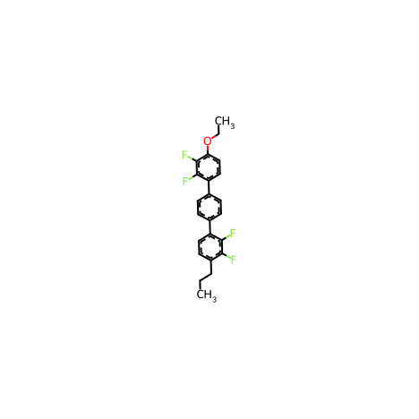 CCCc1ccc(-c2ccc(-c3ccc(OCC)c(F)c3F)cc2)c(F)c1F